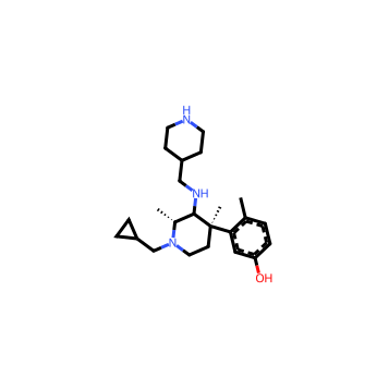 Cc1ccc(O)cc1[C@@]1(C)CCN(CC2CC2)[C@H](C)C1NCC1CCNCC1